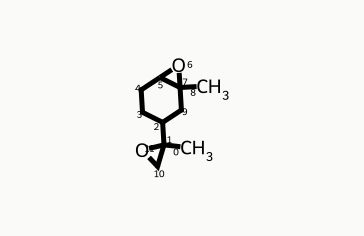 CC1(C2CCC3OC3(C)C2)CO1